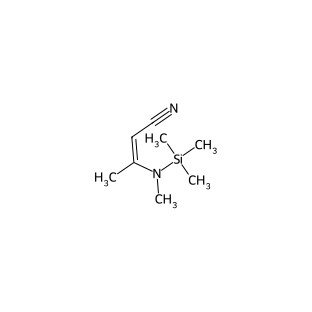 C/C(=C/C#N)N(C)[Si](C)(C)C